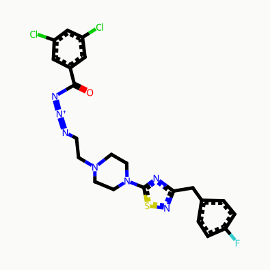 O=C(N=[N+]=NCCN1CCN(c2nc(Cc3ccc(F)cc3)ns2)CC1)c1cc(Cl)cc(Cl)c1